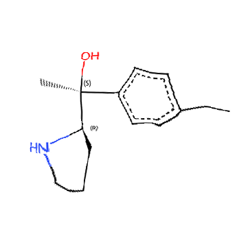 Cc1ccc([C@](C)(O)[C@H]2CCCN2)cc1